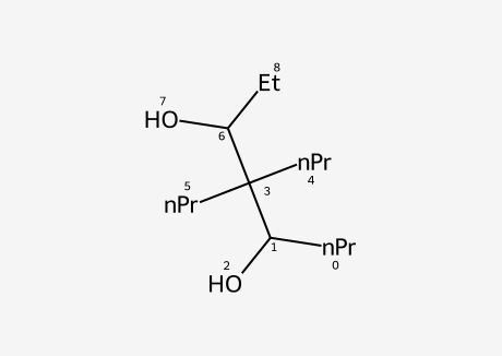 CCCC(O)C(CCC)(CCC)C(O)CC